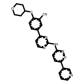 N#Cc1cc(-c2ccnc(Nc3ccc(-c4cccnc4)nn3)n2)ccc1OC1CCOCC1